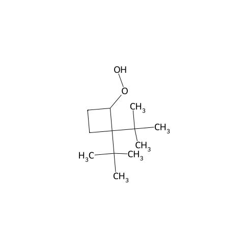 CC(C)(C)C1(C(C)(C)C)CCC1OO